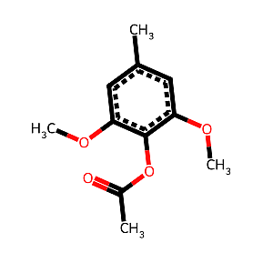 COc1cc(C)cc(OC)c1OC(C)=O